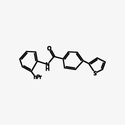 CCCc1ccccc1NC(=O)c1ccc(-c2cccs2)cc1